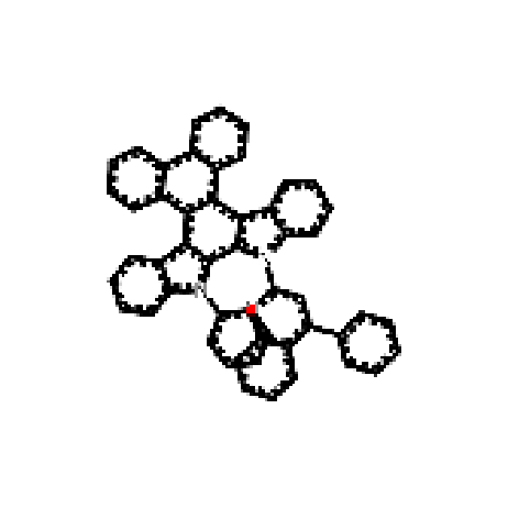 c1ccc(-c2cc(-n3c4ccccc4c4c5c6ccccc6c6ccccc6c5c5c6ccccc6n(-c6ccccc6)c5c43)nc3ccccc23)cc1